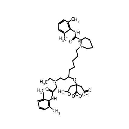 CCN(CCC(CCCCCN1CCCC[C@@H]1C(=O)Nc1c(C)cccc1C)OC(CC(=O)O)(CC(=O)O)C(=O)O)CC(=O)Nc1c(C)cccc1C